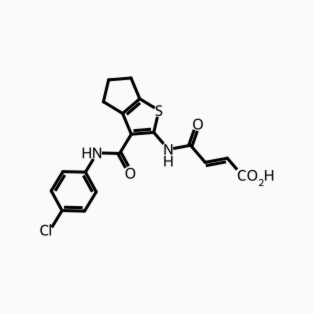 O=C(O)C=CC(=O)Nc1sc2c(c1C(=O)Nc1ccc(Cl)cc1)CCC2